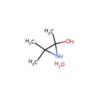 CC1(C)NC1(C)O.O